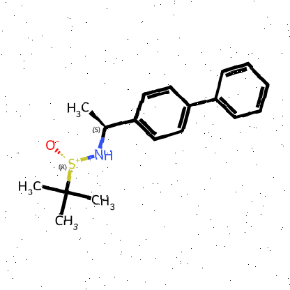 C[C@H](N[S@@+]([O-])C(C)(C)C)c1ccc(-c2ccccc2)cc1